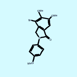 COc1ccc(N2Cc3c(cc(OC)c(OC)c3Br)C2=O)cc1